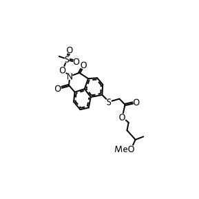 COC(C)CCOC(=O)CSc1ccc2c3c(cccc13)C(=O)N(OS(C)(=O)=O)C2=O